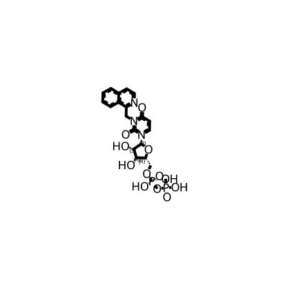 O=c1ccn([C@@H]2O[C@H](COP(=O)(O)OP(=O)(O)O)[C@H](O)[C@@H]2O)c(=O)n1Cc1nccc2ccccc12